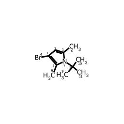 Cc1cc(Br)c(C)n1C(C)(C)C